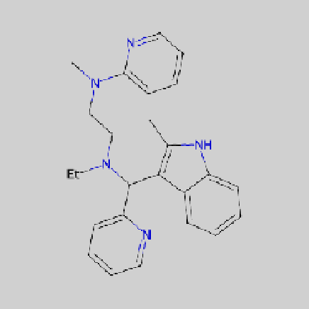 CCN(CCN(C)c1ccccn1)C(c1ccccn1)c1c(C)[nH]c2ccccc12